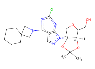 CC1(C)O[C@@H]2C(CO)OC[C@]2(n2ncc3c(N4CC5(CCCCC5)C4)nc(Cl)nc32)O1